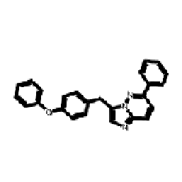 c1ccc(Oc2ccc(Cc3cnc4ccc(-c5ccccc5)nn34)cc2)cc1